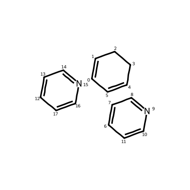 C1=CCCC=C1.c1ccncc1.c1ccncc1